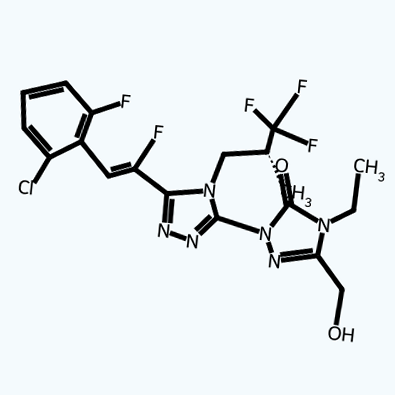 CCn1c(CO)nn(-c2nnc(/C(F)=C/c3c(F)cccc3Cl)n2C[C@@H](C)C(F)(F)F)c1=O